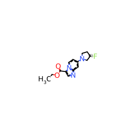 CCOC(=O)c1cnc2cc(N3CC[C@H](F)C3)ccn12